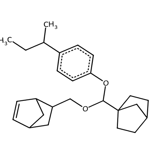 CCC(C)c1ccc(OC(OCC2CC3C=CC2C3)C23CCC(CC2)C3)cc1